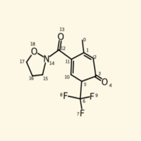 CC1=[C]C(=O)C(C(F)(F)F)C=C1C(=O)N1CCCO1